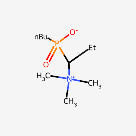 CCCCP(=O)([O-])C(CC)[N+](C)(C)C